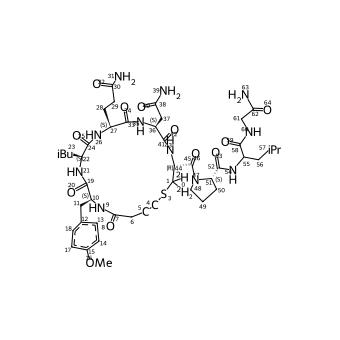 [2H]C1([2H])SCCCC(=O)N[C@@H](Cc2ccc(OC)cc2)C(=O)N[C@@H](C(C)CC)C(=O)N[C@@H](CCC(N)=O)C(=O)N[C@@H](CC(N)=O)C(=O)N[C@@H]1C(=O)N1CCC[C@H]1C(=O)NC(CC(C)C)C(=O)NCC(N)=O